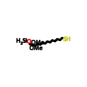 COC(CCCCCCCCCCCCS)(CO[SiH3])OC